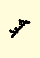 CCCN(CCC)CC(=O)COCC(=O)CN(CCC)CCC